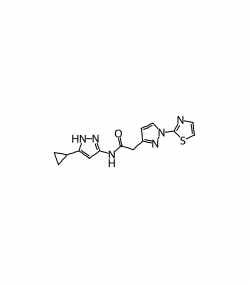 O=C(Cc1ccn(-c2nccs2)n1)Nc1cc(C2CC2)[nH]n1